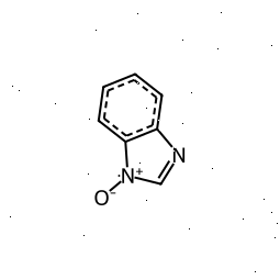 [O-][N+]1C=Nc2ccccc21